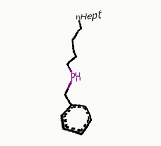 CCCCCCCCCCCPCc1ccccc1